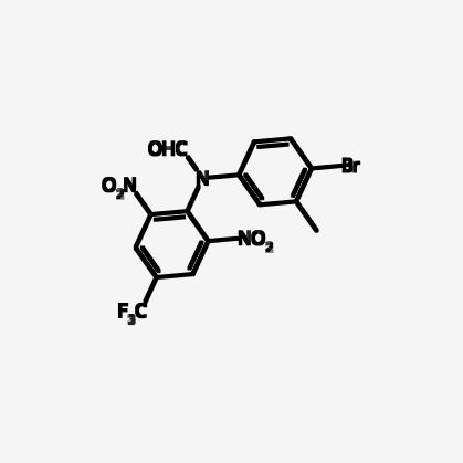 Cc1cc(N(C=O)c2c([N+](=O)[O-])cc(C(F)(F)F)cc2[N+](=O)[O-])ccc1Br